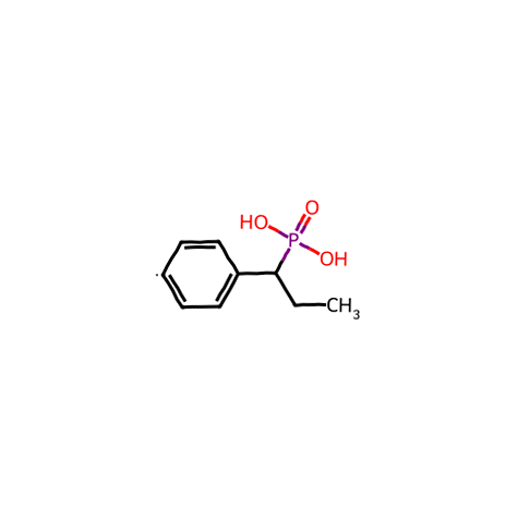 CCC(c1cc[c]cc1)P(=O)(O)O